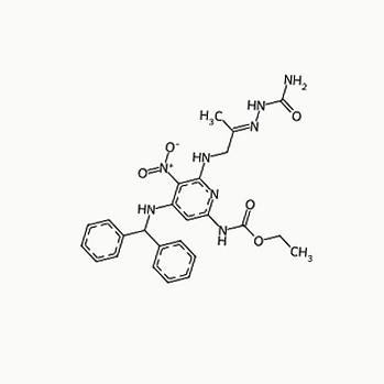 CCOC(=O)Nc1cc(NC(c2ccccc2)c2ccccc2)c([N+](=O)[O-])c(NC/C(C)=N/NC(N)=O)n1